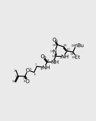 C=C(C)C(=O)OCCNC(=O)Nc1nc(=O)cc(C(CC)CCCC)[nH]1